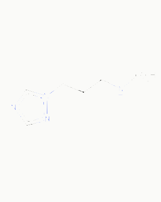 O=C(O)NCCCn1cncn1